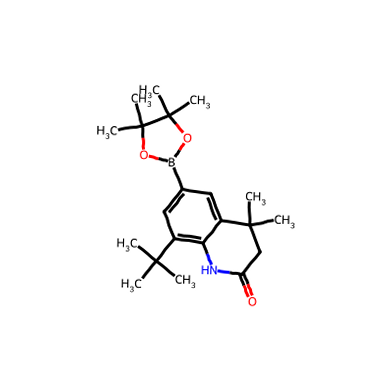 CC(C)(C)c1cc(B2OC(C)(C)C(C)(C)O2)cc2c1NC(=O)CC2(C)C